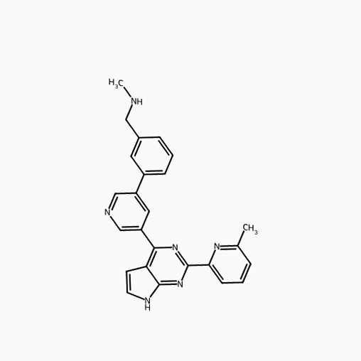 CNCc1cccc(-c2cncc(-c3nc(-c4cccc(C)n4)nc4[nH]ccc34)c2)c1